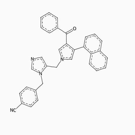 N#Cc1ccc(Cn2cncc2Cn2cc(C(=O)c3ccccc3)c(-c3cccc4ccccc34)c2)cc1